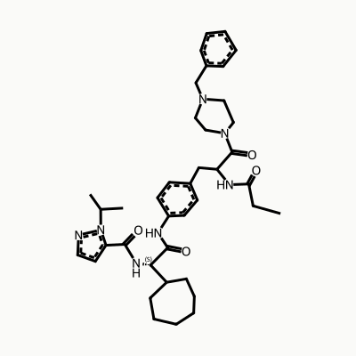 CCC(=O)NC(Cc1ccc(NC(=O)[C@@H](NC(=O)c2ccnn2C(C)C)C2CCCCCC2)cc1)C(=O)N1CCN(Cc2ccccc2)CC1